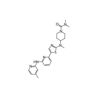 Cc1ccnc(Nc2cccc(-c3cnc(N(C)C4CCN(C(=O)N(C)C)CC4)s3)n2)c1